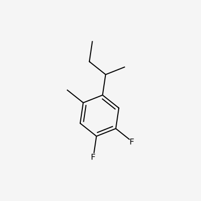 CCC(C)c1cc(F)c(F)cc1C